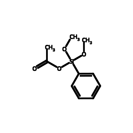 CO[Si](OC)(OC(C)=O)c1ccccc1